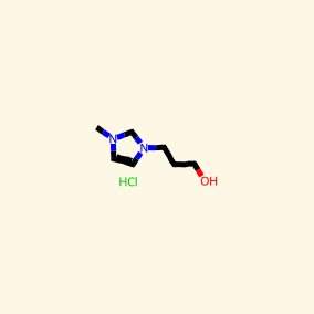 CN1C=CN(CCCO)C1.Cl